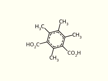 Cc1c(C)c(C(=O)O)c(C)c(C(=O)O)c1C